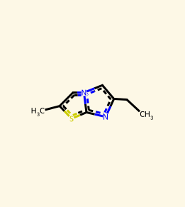 CCc1cn2cc(C)sc2n1